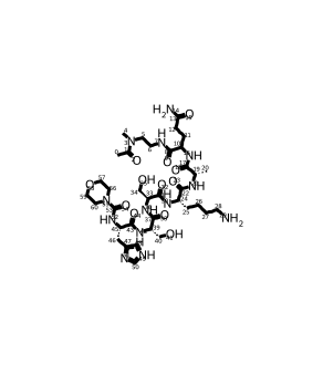 CC(=O)N(C)CCNC(=O)C(CCC(N)=O)NC(=O)[C@H](C)NC(=O)[C@H](CCCCN)NC(=O)[C@H](CO)NC(=O)[C@H](CO)NC(=O)[C@H](Cc1c[nH]cn1)NC(=O)N1CCOCC1